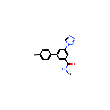 Cc1ccc(-c2cc(C(=O)NC(C)(C)C)cc(-n3cnnn3)c2)cc1